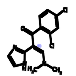 CN(C)/C=C(/C(=O)c1ccc(Cl)cc1Cl)c1ncc[nH]1